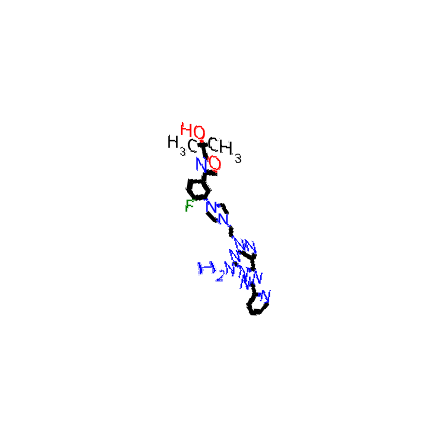 CC(C)(O)c1nc(-c2ccc(F)c(N3CCN(CCn4ncc5c4nc(N)n4nc(-c6ccccn6)nc54)CC3)c2)co1